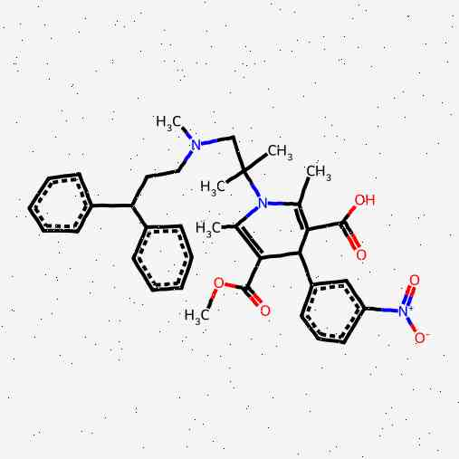 COC(=O)C1=C(C)N(C(C)(C)CN(C)CCC(c2ccccc2)c2ccccc2)C(C)=C(C(=O)O)C1c1cccc([N+](=O)[O-])c1